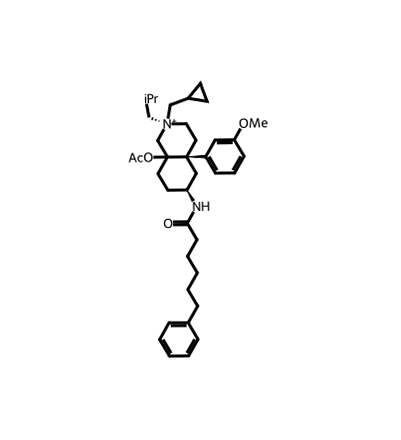 COc1cccc([C@]23CC[N@+](CC(C)C)(CC4CC4)CC2(OC(C)=O)CC[C@H](NC(=O)CCCCCc2ccccc2)C3)c1